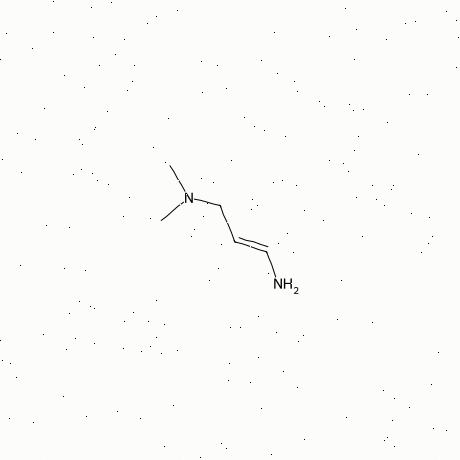 CN(C)CC=CN